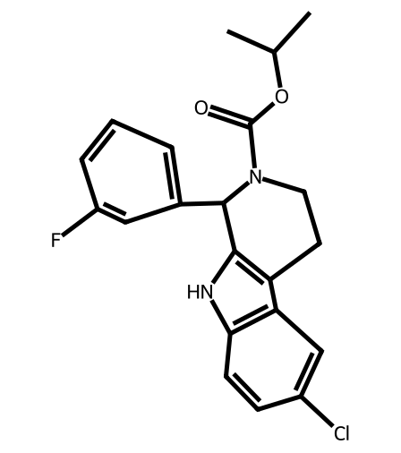 CC(C)OC(=O)N1CCc2c([nH]c3ccc(Cl)cc23)C1c1cccc(F)c1